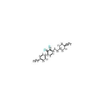 CCCc1ccc(-c2ccc(CCC3CCC(CCC)CC3)c(F)c2F)cc1